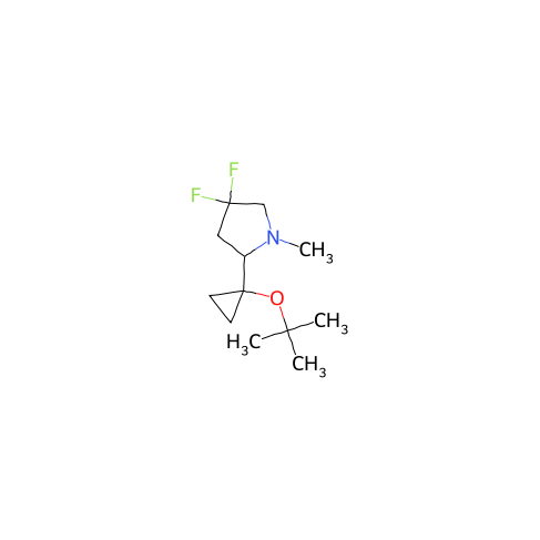 CN1CC(F)(F)CC1C1(OC(C)(C)C)CC1